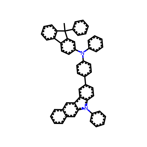 CC1(c2ccccc2)c2ccccc2-c2ccc(N(c3ccccc3)c3ccc(-c4ccc5c(c4)c4cc6ccccc6cc4n5-c4ccccc4)cc3)cc21